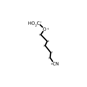 N#CCCCCCOC(=O)O